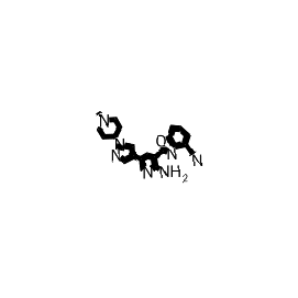 CN1CCC(n2cc(-c3cnc(N)c(-c4nc5c(C#N)cccc5o4)c3)cn2)CC1